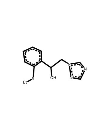 CCSc1ccccc1C(O)Cn1cncn1